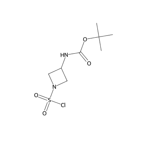 CC(C)(C)OC(=O)NC1CN(S(=O)(=O)Cl)C1